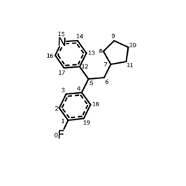 Fc1ccc(C(CC2CCCC2)c2ccncc2)cc1